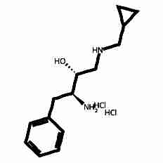 Cl.Cl.N[C@@H](Cc1ccccc1)[C@H](O)CNCC1CC1